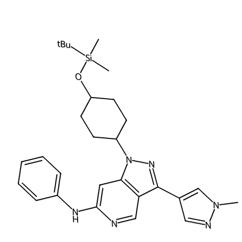 Cn1cc(-c2nn(C3CCC(O[Si](C)(C)C(C)(C)C)CC3)c3cc(Nc4ccccc4)ncc23)cn1